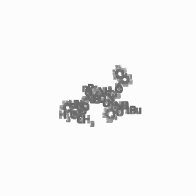 CCCC(NC(=O)C1CC(OCc2cccc3ccccc23)CN1C(=O)[C@@H](NC(=O)OC(C)(C)C)C1CCCCC1)C(=O)C(=O)NCC(=O)NC(C(=O)N(C)C)c1ccccc1